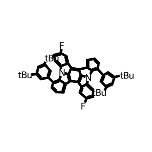 CC(C)(C)c1cc(-c2cccc3c4c5c6cc(F)ccc6n6c7c(-c8cc(C(C)(C)C)cc(C(C)(C)C)c8)cccc7c(c7c8cc(F)ccc8n(c23)c74)c56)cc(C(C)(C)C)c1